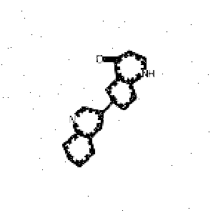 O=c1cc[nH]c2ccc(-c3cnc4ccccc4c3)cc12